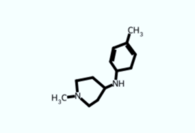 CC1=CCC(NC2CCN(C)CC2)C=C1